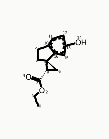 CCOC(=O)[C@H]1C[C@]12CCc1ccc(O)cc12